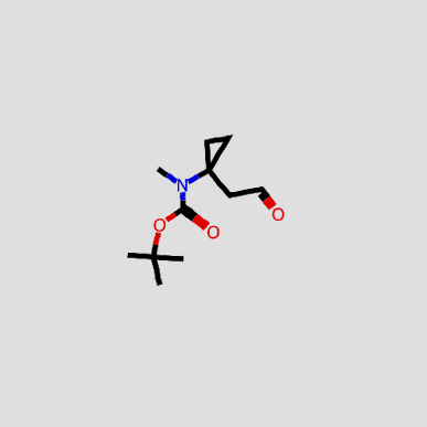 CN(C(=O)OC(C)(C)C)C1(CC=O)CC1